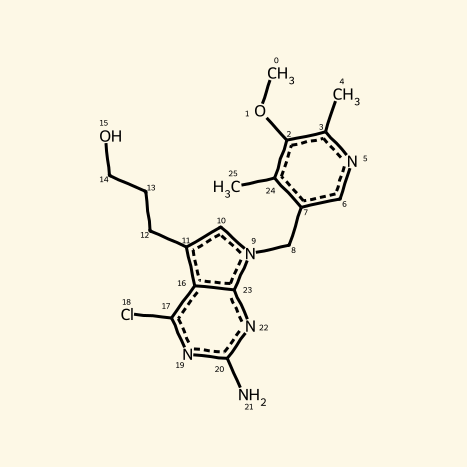 COc1c(C)ncc(Cn2cc(CCCO)c3c(Cl)nc(N)nc32)c1C